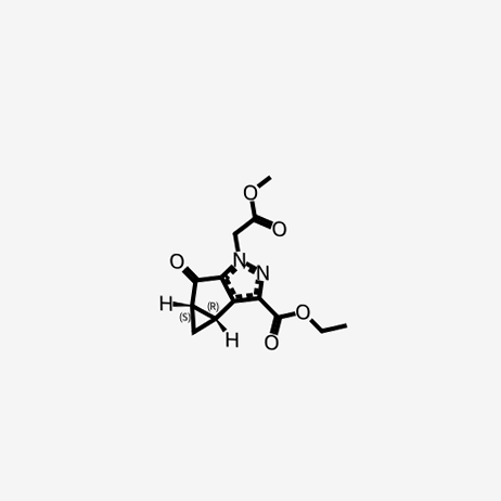 CCOC(=O)c1nn(CC(=O)OC)c2c1[C@@H]1C[C@@H]1C2=O